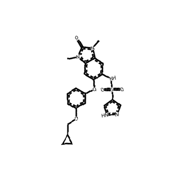 Cn1c(=O)n(C)c2cc(Oc3cccc(OCC4CC4)c3)c(NS(=O)(=O)c3cn[nH]c3)cc21